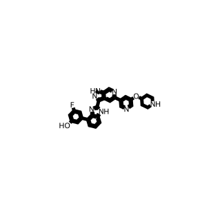 Oc1cc(F)cc(-c2cccc3[nH]c(-c4n[nH]c5cnc(-c6cncc(OC7CCNCC7)c6)cc45)nc23)c1